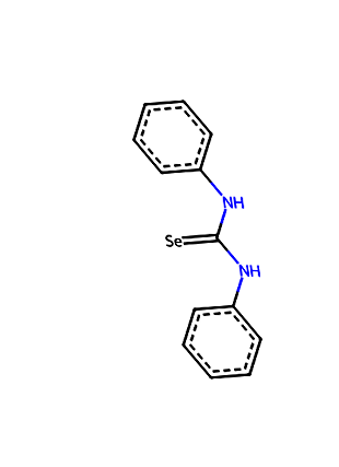 [Se]=C(Nc1ccccc1)Nc1ccccc1